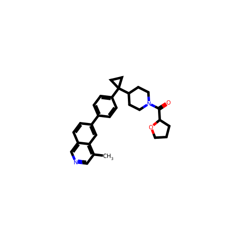 Cc1cncc2ccc(-c3ccc(C4(C5CCN(C(=O)C6CCCO6)CC5)CC4)cc3)cc12